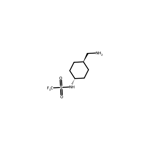 NC[C@H]1CC[C@H](NS(=O)(=O)C(F)(F)F)CC1